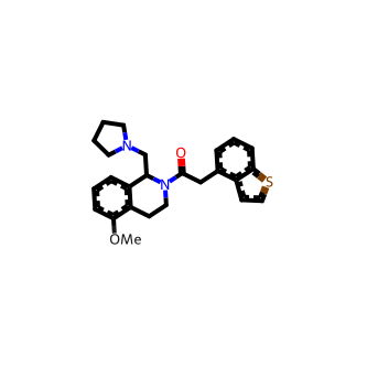 COc1cccc2c1CCN(C(=O)Cc1cccc3sccc13)C2CN1CCCC1